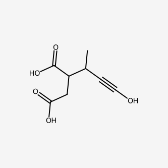 CC(C#CO)C(CC(=O)O)C(=O)O